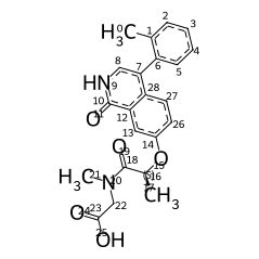 Cc1ccccc1-c1c[nH]c(=O)c2cc(O[C@@H](C)C(=O)N(C)CC(=O)O)ccc12